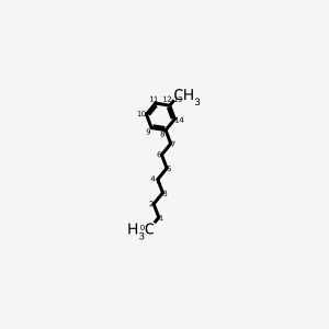 CCCC[CH]CCCc1cccc(C)c1